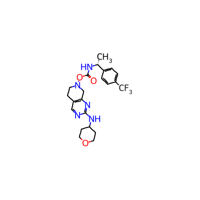 C[C@@H](NC(=O)ON1CCc2cnc(NC3CCOCC3)nc2C1)c1ccc(C(F)(F)F)cc1